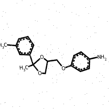 Cc1cccc(C2(C)OCC(COc3ccc(N)cc3)O2)c1